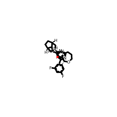 Cc1cc(N2C[C@H]3CC[C@@H](C2)[C@@H]3Nc2nc3n(n2)CCCO[C@@H]3c2cc(F)cc(F)c2)ncn1